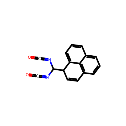 O=C=NC(N=C=O)C1C=Cc2cccc3cccc1c23